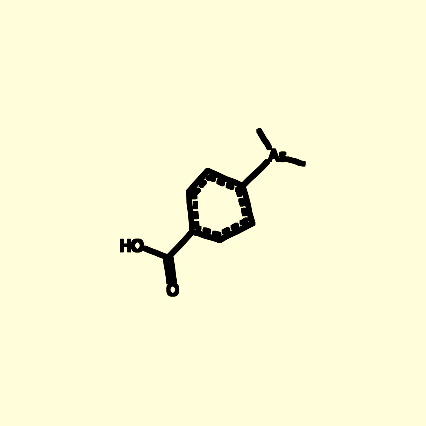 C[As](C)c1ccc(C(=O)O)cc1